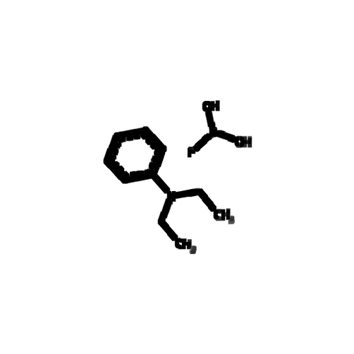 CCN(CC)c1ccccc1.OB(O)F